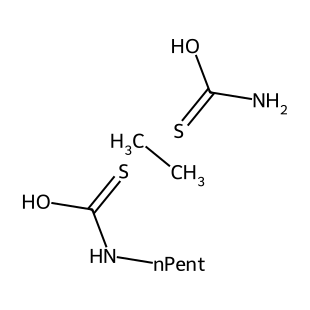 CC.CCCCCNC(O)=S.NC(O)=S